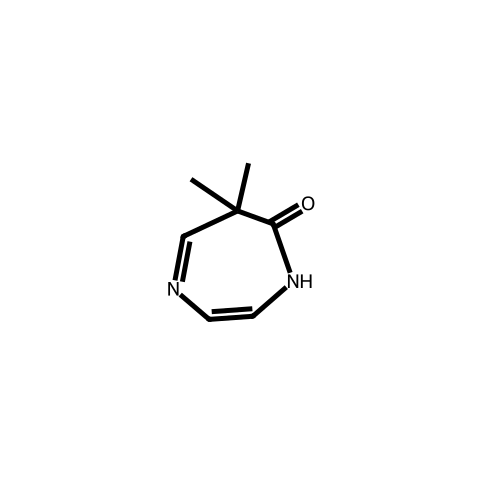 CC1(C)C=NC=CNC1=O